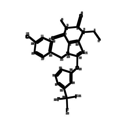 CCn1c(=O)n(C)c(=O)c2c1nc(Oc1cccc(C(F)(F)F)c1)n2Cc1ccc(Cl)cc1